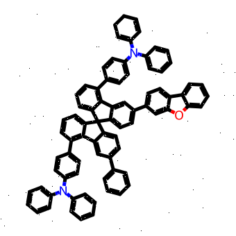 C1=CC(N(c2ccccc2)c2ccc(-c3cccc4c3-c3cc(-c5ccc6c(c5)oc5ccccc56)ccc3C43c4ccc(-c5ccccc5)cc4-c4c(-c5ccc(N(c6ccccc6)c6ccccc6)cc5)cccc43)cc2)=CCC1